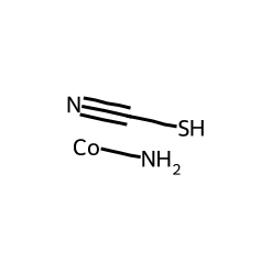 N#CS.[NH2][Co]